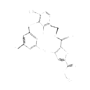 Cc1cc(C(=O)NC(C)C)[nH]c1C(=O)NCc1ccc(Cl)c(Oc2cc(Cl)cc(C#N)c2)c1F